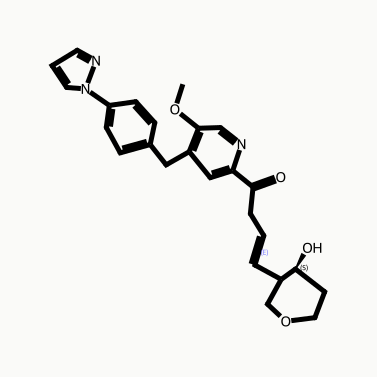 COc1cnc(C(=O)C/C=C/C2COCC[C@@H]2O)cc1Cc1ccc(-n2cccn2)cc1